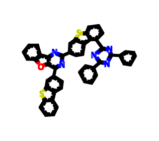 c1ccc(-c2nc(-c3ccccc3)nc(-c3cccc4sc5cc(-c6nc(-c7ccc8c(c7)sc7ccccc78)c7oc8ccccc8c7n6)ccc5c34)n2)cc1